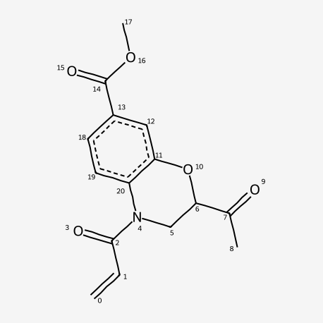 C=CC(=O)N1CC(C(C)=O)Oc2cc(C(=O)OC)ccc21